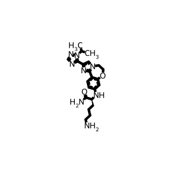 CC(C)n1ncnc1-c1cn2c(n1)-c1ccc(N[C@@H](CCCCN)C(N)=O)cc1OCC2